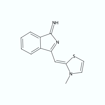 CN1C=CSC1=CC1=NC(=N)c2ccccc21